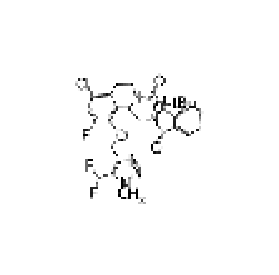 Cn1nnc(COc2c(F)cc(Cl)c3c2C(CN2C(=O)c4ccccc4C2=O)N(C(=O)OC(C)(C)C)CC3)c1C(F)F